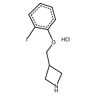 Cl.Ic1ccccc1OCC1CNC1